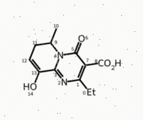 CCc1nc2n(c(=O)c1C(=O)O)C(C)CC=C2O